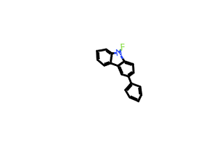 Fn1c2ccccc2c2cc(-c3ccccc3)ccc21